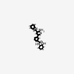 Nc1ncc(-c2cccc(C(=O)N[C@H]3CCCC[C@@H]3O)c2)cc1-c1nc2ccccc2s1